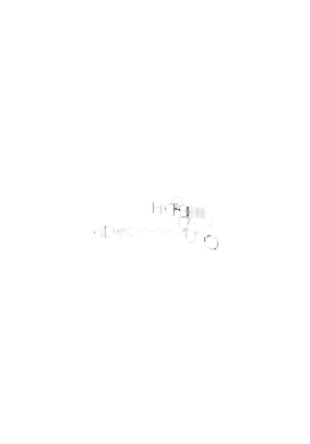 [CH2]C(CC(OCCCCCCCCCCCCCCCCCC)c1ccccc1)OCP(=O)(O)O